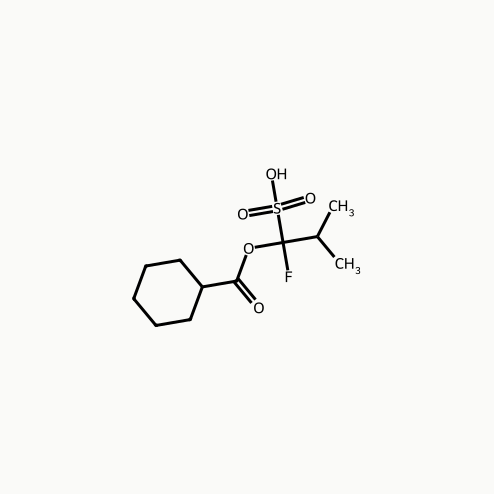 CC(C)C(F)(OC(=O)C1CCCCC1)S(=O)(=O)O